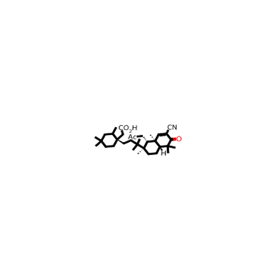 CC(=O)C[C@@H]1[C@@]2(C)C=C(C#N)C(=O)C(C)(C)[C@@H]2CC[C@@]1(C)C(C)(C)CC[C@@]1(CC(=O)O)CCC(C)(C)CC1C